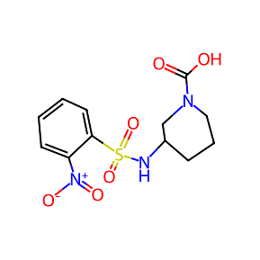 O=C(O)N1CCCC(NS(=O)(=O)c2ccccc2[N+](=O)[O-])C1